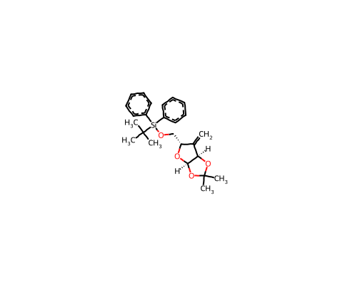 C=C1[C@H]2OC(C)(C)O[C@H]2O[C@@H]1CO[Si](c1ccccc1)(c1ccccc1)C(C)(C)C